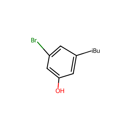 CCC(C)c1cc(O)cc(Br)c1